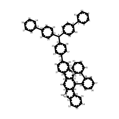 c1ccc(-c2ccc(C(c3ccc(-c4ccccc4)cc3)c3ccc(-c4ccc5c(c4)oc4c(-c6ccccc6-c6ccccc6)c6c(cc45)oc4ccccc46)cc3)cc2)cc1